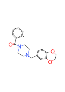 O=C(c1[c]cccc1)N1CCN(Cc2ccc3c(c2)OCCO3)CC1